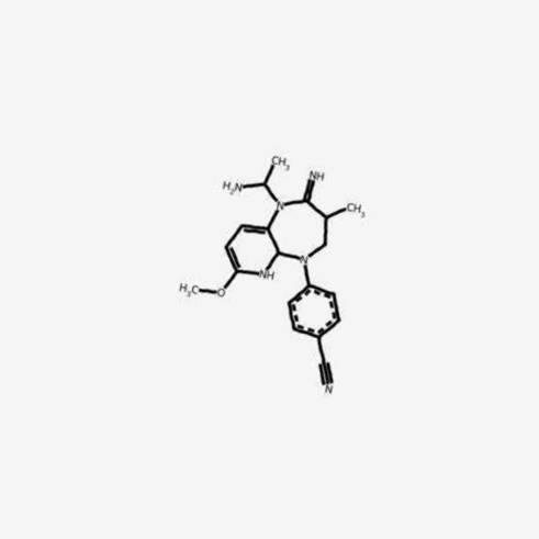 COC1=CC=C2C(N1)N(c1ccc(C#N)cc1)CC(C)C(=N)N2C(C)N